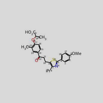 COc1ccc(-c2nc(C(C)C)c(CCC(=O)c3ccc(OC(C)C(=O)O)c(C)c3)s2)cc1